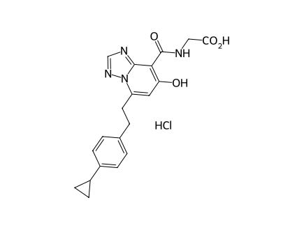 Cl.O=C(O)CNC(=O)c1c(O)cc(CCc2ccc(C3CC3)cc2)n2ncnc12